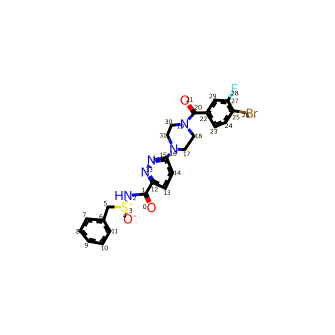 O=C(N[S+]([O-])Cc1ccccc1)c1ccc(N2CCN(C(=O)c3ccc(Br)c(F)c3)CC2)nn1